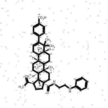 C=C(C)[C@@H]1CC[C@]2(C(=O)NCCNc3ccccc3)CC[C@]3(C)[C@H](CC[C@@H]4[C@@]5(C)CC=C(c6ccc(C(=O)O)cc6)C(C)(C)[C@@H]5CC[C@]43C)[C@@H]12